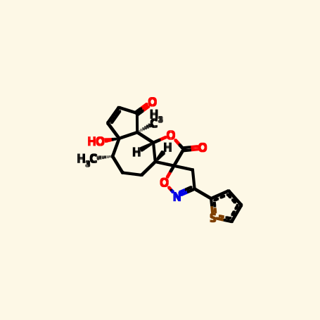 C[C@H]1CC[C@@H]2[C@@H](OC(=O)C23CC(c2cccs2)=NO3)[C@]2(C)C(=O)C=C[C@@]12O